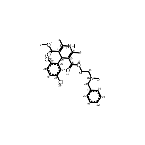 COC(=O)C1=C(C)NC(C)=C(C(=O)OCCN(C)Cc2ccccc2)C1c1cc(Cl)ccc1Cl